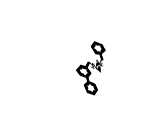 c1ccc(C[N@@]2C[N@@]2Cc2cccc(-c3ccccc3)c2)cc1